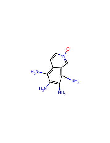 Nc1c(N)c(N)c2c[n+]([O-])ccc2c1N